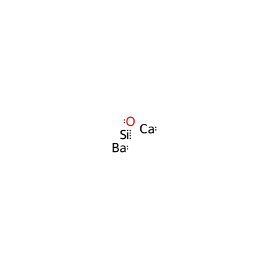 [Ba].[Ca].[O].[Si]